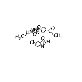 CCCCNC(=O)NS(=O)(=O)c1ccc(C(C=O)CCCC)cc1.O=c1[nH]cnc2ccc(Cl)cc12